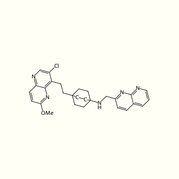 COc1ccc2ncc(Cl)c(CCC34CCC(NCc5ccc6cccnc6n5)(CC3)CC4)c2n1